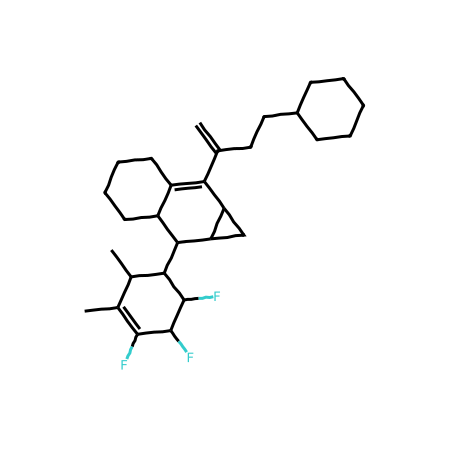 C=C(CCC1CCCCC1)C1=C2CCCCC2C(C2C(C)C(C)=C(F)C(F)C2F)C2CC12